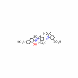 O=C(O)c1ccc(S(=O)(=O)O)cc1/N=N/c1ccc(/N=N/c2c(S(=O)(=O)O)cc3cc(S(=O)(=O)O)ccc3c2O)c(C(=O)O)c1